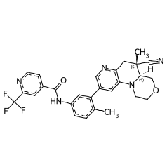 Cc1ccc(NC(=O)c2ccnc(C(F)(F)F)c2)cc1-c1cnc2c(c1)N1CCOC[C@@H]1[C@@](C)(C#N)C2